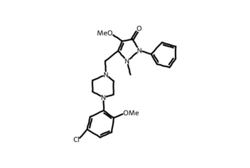 COc1ccc(Cl)cc1N1CCN(Cc2c(OC)c(=O)n(-c3ccccc3)n2C)CC1